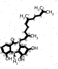 CC(C)=CCCC(C)=CCCC(C)=CCN1C(=O)c2cccc(O)c2N(C)c2c(O)cc(O)cc21